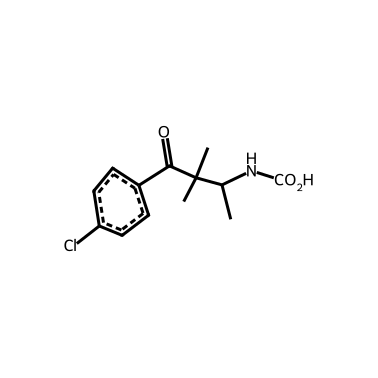 CC(NC(=O)O)C(C)(C)C(=O)c1ccc(Cl)cc1